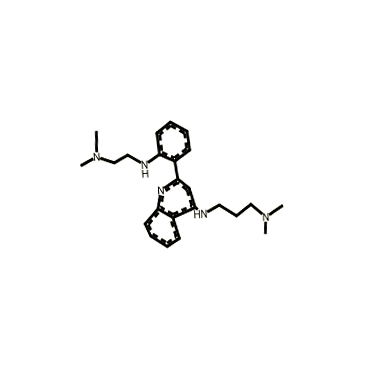 CN(C)CCCNc1cc(-c2ccccc2NCCN(C)C)nc2ccccc12